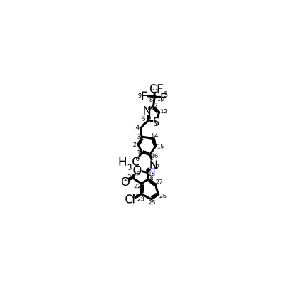 Cc1cc(Cc2nc(C(F)(F)C(F)(F)F)cs2)ccc1/N=C1\OC(=O)c2c(Cl)cccc21